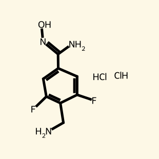 Cl.Cl.NCc1c(F)cc(C(N)=NO)cc1F